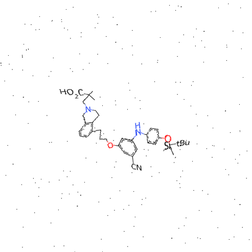 CC(C)(CN1CCc2c(CCCOc3cc(C#N)cc(Nc4ccc(O[Si](C)(C)C(C)(C)C)cc4)c3)cccc2C1)C(=O)O